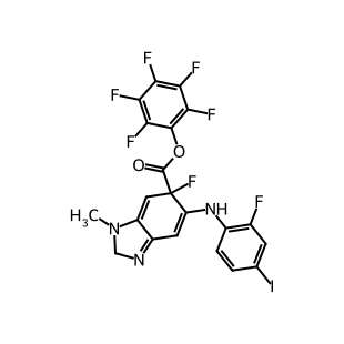 CN1CN=C2C=C(Nc3ccc(I)cc3F)C(F)(C(=O)Oc3c(F)c(F)c(F)c(F)c3F)C=C21